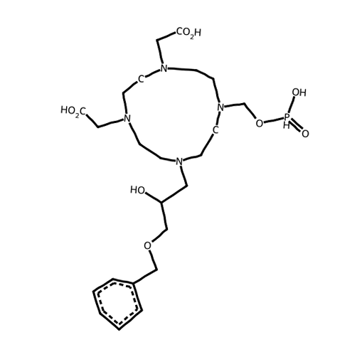 O=C(O)CN1CCN(CO[PH](=O)O)CCN(CC(O)COCc2ccccc2)CCN(CC(=O)O)CC1